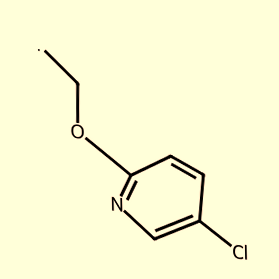 [CH2]COc1ccc(Cl)cn1